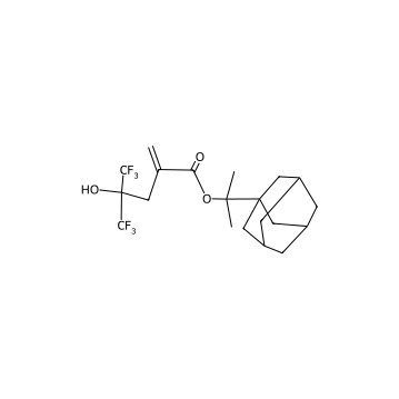 C=C(CC(O)(C(F)(F)F)C(F)(F)F)C(=O)OC(C)(C)C12CC3CC(CC(C3)C1)C2